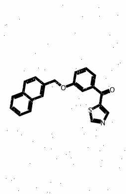 O=C(c1cccc(OCc2ccc3ccccc3c2)c1)c1cncs1